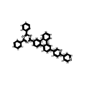 c1ccc(-c2nc(-c3ccccc3)nc(-c3ccc4c5ccc(-c6ccc(-c7ccncc7)nc6)cc5c5ccccc5c4c3)n2)cc1